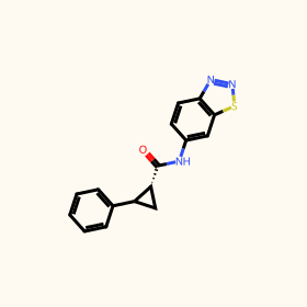 O=C(Nc1ccc2nnsc2c1)[C@@H]1CC1c1ccccc1